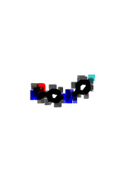 Fc1ccc(C=NNc2ccc(-c3cnco3)cc2)cc1